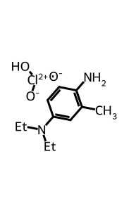 CCN(CC)c1ccc(N)c(C)c1.[O-][Cl+2]([O-])O